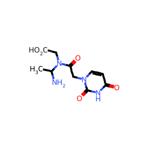 CC(N)N(CC(=O)O)C(=O)Cn1ccc(=O)[nH]c1=O